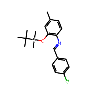 Cc1ccc(/N=C/c2ccc(Cl)cc2)c(O[Si](C)(C)C(C)(C)C)c1